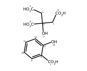 O=C(O)CC(O)(CC(=O)O)C(=O)O.O=C(O)c1ccccc1O